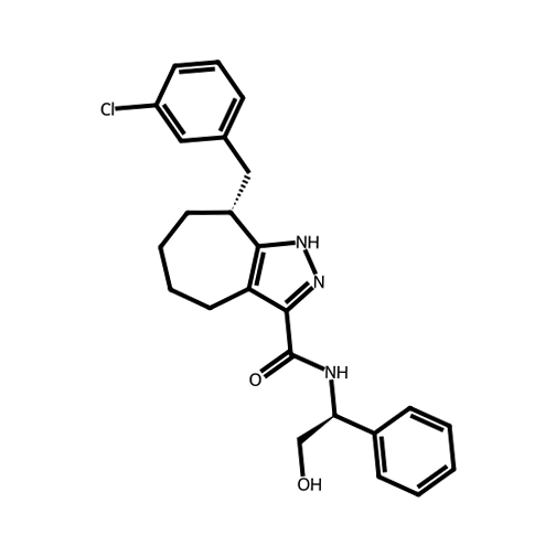 O=C(N[C@H](CO)c1ccccc1)c1n[nH]c2c1CCCC[C@@H]2Cc1cccc(Cl)c1